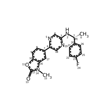 C[C@@H](Nc1cnc(-c2ccc3oc(=O)n(C)c3c2)cn1)c1ccc(F)cc1